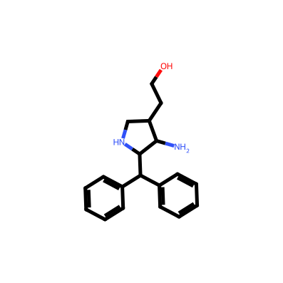 NC1C(CCO)CNC1C(c1ccccc1)c1ccccc1